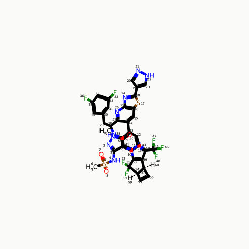 Cn1nc(NS(C)(=O)=O)c2cccc(-c3cc4sc(-c5cn[nH]c5)nc4nc3C(Cc3cc(F)cc(F)c3)NC(=O)Cn3nc(C(F)(F)F)c4c3C(F)(F)[C@@H]3C=C[C@H]43)c21